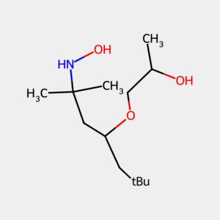 CC(O)COC(CC(C)(C)C)CC(C)(C)NO